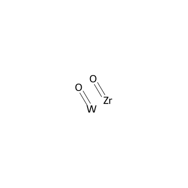 [O]=[W].[O]=[Zr]